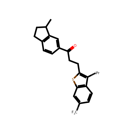 CC(C)c1c(CCC(=O)c2ccc3c(c2)C(C)CC3)sc2cc(C(F)(F)F)ccc12